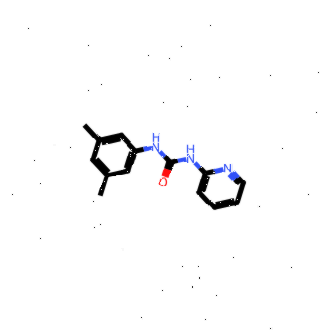 Cc1cc(C)cc(NC(=O)Nc2ccccn2)c1